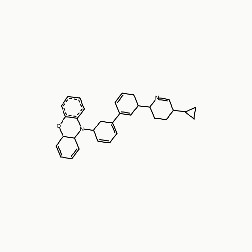 C1=CC2Oc3ccccc3N(C3C=CC=C(C4=CC(C5CCC(C6CC6)C=N5)CC=C4)C3)C2C=C1